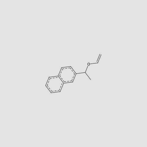 C=COC(C)c1ccc2ccccc2c1